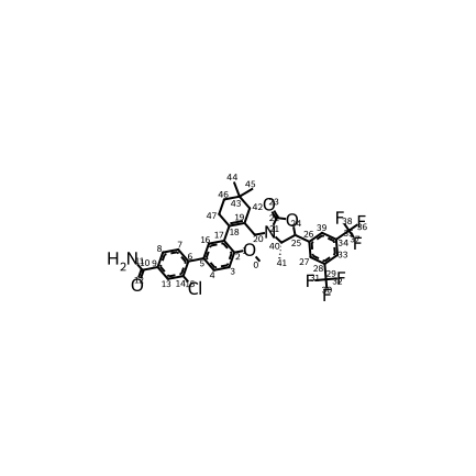 COc1ccc(-c2ccc(C(N)=O)cc2Cl)cc1C1=C(CN2C(=O)OC(c3cc(C(F)(F)F)cc(C(F)(F)F)c3)[C@@H]2C)CC(C)(C)CC1